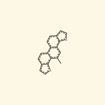 Cc1cc2c(ccc3ccsc32)c2ccc3ccsc3c12